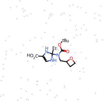 CCC1(N(CC2CCO2)C(=O)OC(C)(C)C)NC=C(C(=O)O)N1